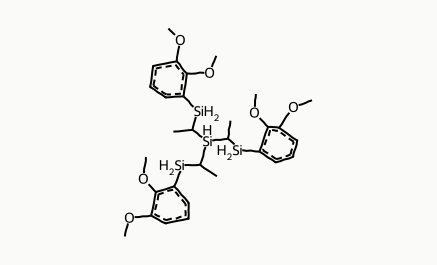 COc1cccc([SiH2]C(C)[SiH](C(C)[SiH2]c2cccc(OC)c2OC)C(C)[SiH2]c2cccc(OC)c2OC)c1OC